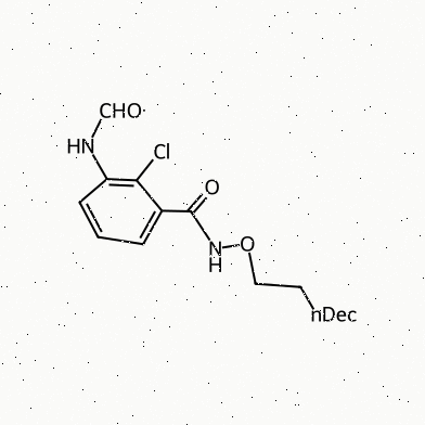 CCCCCCCCCCCCONC(=O)c1cccc(N[C]=O)c1Cl